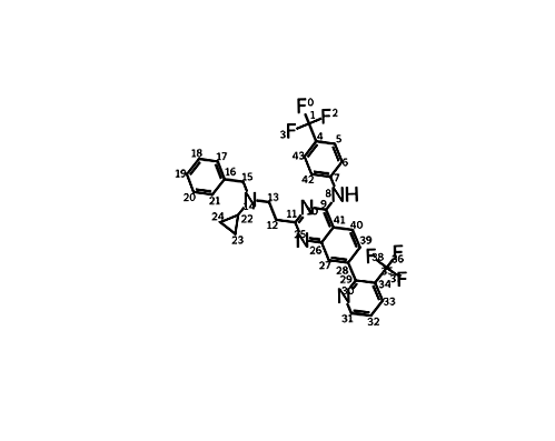 FC(F)(F)c1ccc(Nc2nc(CCN(Cc3ccccc3)C3CC3)nc3cc(-c4ncccc4C(F)(F)F)ccc23)cc1